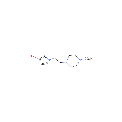 O=C(O)N1CCN(CCn2ccc(Br)c2)CC1